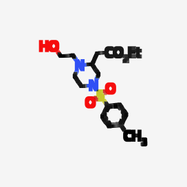 CCOC(=O)CC1CN(S(=O)(=O)c2ccc(C)cc2)CCN1CCO